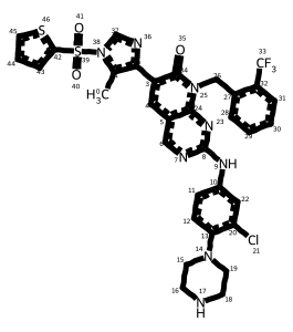 Cc1c(-c2cc3cnc(Nc4ccc(N5CCNCC5)c(Cl)c4)nc3n(Cc3ccccc3C(F)(F)F)c2=O)ncn1S(=O)(=O)c1cccs1